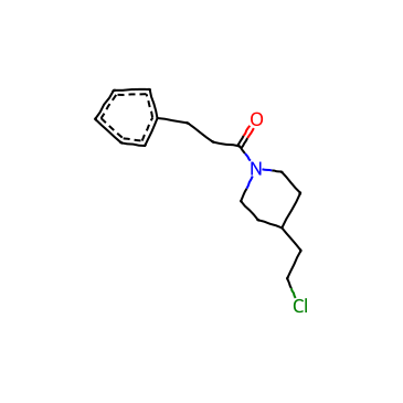 O=C(CCc1ccccc1)N1CCC(CCCl)CC1